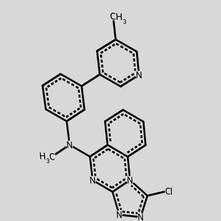 Cc1cncc(-c2cccc(N(C)c3nc4nnc(Cl)n4c4ccccc34)c2)c1